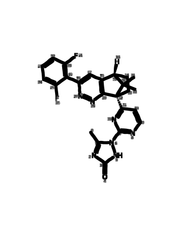 Cc1nc(=O)[nH]n1-c1nccc([C@]23CC[C@@H](c4cc(-c5c(F)cccc5F)nnc42)C3(C)C)n1